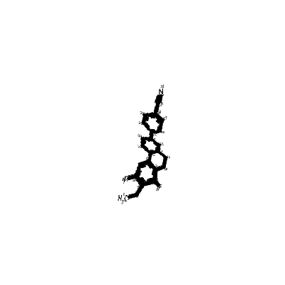 CCc1c(F)cc2c(c1F)CCc1cc(-c3ccc(C#N)cc3)ccc1-2